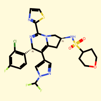 O=S(=O)(N[C@H]1CC2=C(c3cnn(C(F)F)c3)[C@H](c3ccc(F)cc3Cl)N=C(c3nccs3)N2C1)C1CCOCC1